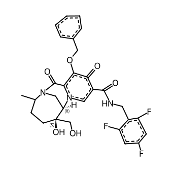 CC1CC[C@@](O)(CO)[C@H]2CN1C(=O)c1c(OCc3ccccc3)c(=O)c(C(=O)NCc3c(F)cc(F)cc3F)cn12